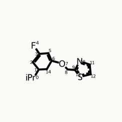 CC(C)C1C=C(F)C=C(OCc2nccs2)C1